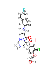 O=C(N[C@H](CN1CCC1)[C@H](O)c1ccc(OC2COC2)c(Cl)c1)C1CCN(c2ccc3cc(F)ccc3c2)C1